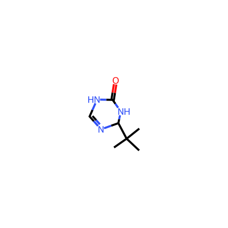 CC(C)(C)C1N=CNC(=O)N1